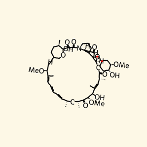 CO[C@H]1C[C@@H]2CC[C@@H](C)[C@@](O)(OC2)C(=O)C(=O)N2CCCC3[C@H]2C(=O)O[C@@H](CC(=O)[C@H](C)/C=C(\C)[C@@H](O)[C@@H](OC)C(=O)[C@H](C)C[C@H](C)/C=C/C=C/C=C/1C)[C@H]3C[C@@H]1CC[C@@H](O)[C@H](OC)C1